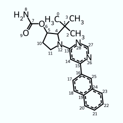 CC(C)(C)C1C(OC(N)=O)CCN1c1cc(-c2ccc3ccccc3c2)ncn1